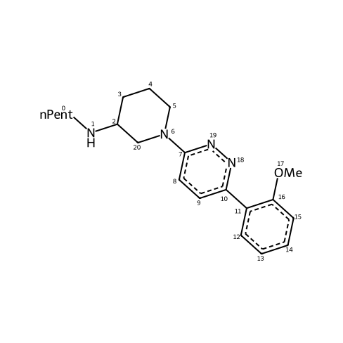 CCCCCNC1CCCN(c2ccc(-c3ccccc3OC)nn2)C1